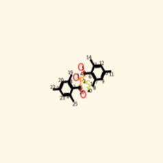 CSP(=O)(C(=O)c1c(C)cc(C)cc1C)C(=O)c1c(C)cc(C)cc1C